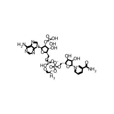 CC=O.NC(=O)c1ccc[n+]([C@@H]2O[C@H](COP(=O)([O-])OP(=O)(O)OC[C@H]3O[C@@H](n4cnc5c(N)ncnc54)[C@H](OP(=O)(O)O)[C@@H]3O)[C@@H](O)[C@H]2O)c1